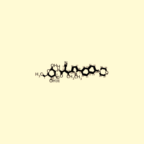 CC[C@H]1OC(O)[C@H](NC(=O)/C(C#N)=C(\C)c2ccc(-c3ccc4cc(N5CCOCC5)ccc4c3)n2C)[C@@H](O)[C@@H]1O